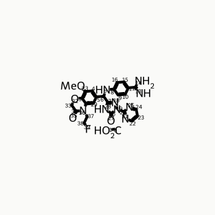 CC(=O)O.COc1cc(C(Nc2ccc(C(=N)N)cc2)c2nn(-c3ncccn3)c(=O)[nH]2)cc2c1OCC(=O)N2CCF